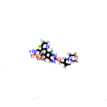 CC(C)(C)OC(=O)Nc1sc2c(F)cnc(-c3c4c(c5cnc(OCC6(CN7CCOCC7)CC6)nc5c3F)COC4)c2c1C#N